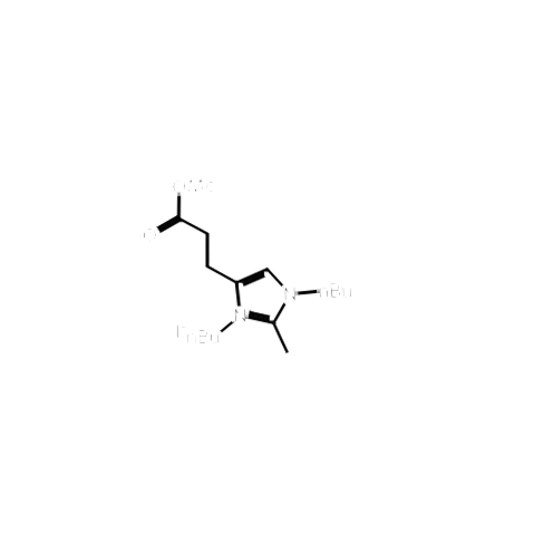 CCCCn1cc(CCC(=O)OC)[n+](CCCC)c1C.[I-]